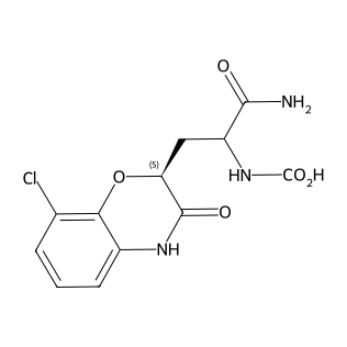 NC(=O)C(C[C@@H]1Oc2c(Cl)cccc2NC1=O)NC(=O)O